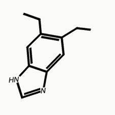 CCc1cc2nc[nH]c2cc1CC